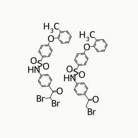 Cc1ccccc1Oc1ccc(S(=O)(=O)Nc2ccc(C(=O)C(Br)Br)cc2)cc1.Cc1ccccc1Oc1ccc(S(=O)(=O)Nc2ccc(C(=O)CBr)cc2)cc1